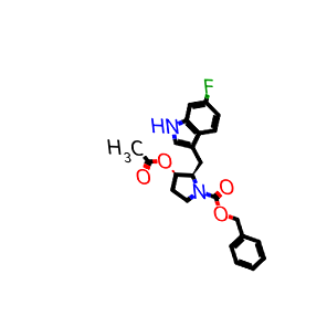 CC(=O)O[C@H]1CCN(C(=O)OCc2ccccc2)[C@@H]1Cc1c[nH]c2cc(F)ccc12